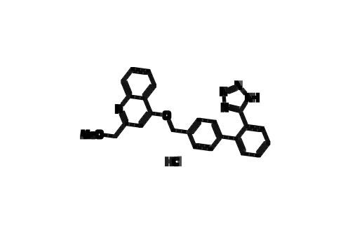 COCc1cc(OCc2ccc(-c3ccccc3-c3nnn[nH]3)cc2)c2ccccc2n1.Cl